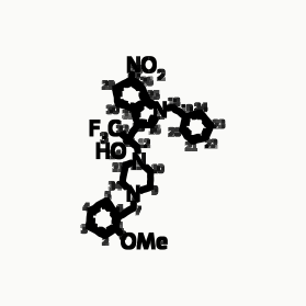 COc1ccccc1CN1CCN(CC(O)(c2cn(Cc3ccccc3)c3cc([N+](=O)[O-])ccc23)C(F)(F)F)CC1